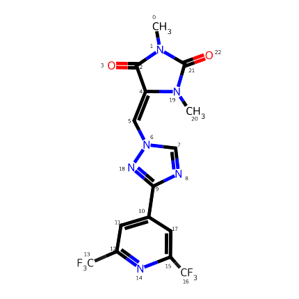 CN1C(=O)C(=Cn2cnc(-c3cc(C(F)(F)F)nc(C(F)(F)F)c3)n2)N(C)C1=O